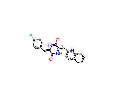 O=c1[nH]/c(=C\c2ccc3ccccc3n2)c(=O)[nH]/c1=C\c1ccc(F)cc1